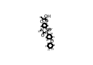 CC(Oc1ccc2c(c1)N(C)C(=O)N(c1ccc(Oc3ccccc3)cc1)[S@+]2[O-])C(=O)O